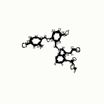 COC(=O)c1cccc2c1c(CC=O)cn2Cc1cc(Cl)ccc1OCc1ccc(Cl)cc1F